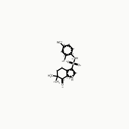 CC1(C)CCc2c(S(=O)(=O)Nc3ccc(C#N)cc3F)c[nH]c2C1=O